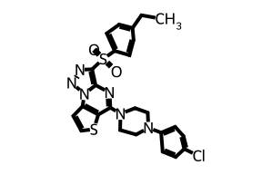 CCc1ccc(S(=O)(=O)c2nnn3c2nc(N2CCN(c4ccc(Cl)cc4)CC2)c2sccc23)cc1